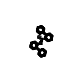 [O-][N+](=Nc1ccccc1-c1ccccc1)c1ccccc1-c1ccccc1